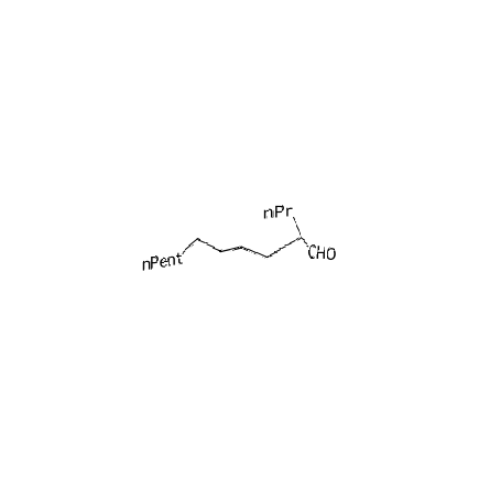 CCCCCCCCCC(C=O)CCC